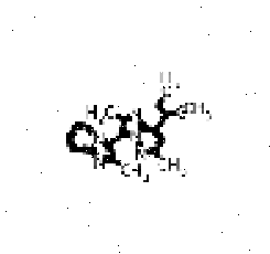 CCC(CC)c1cc(C)nn2c(-c3c(C)nc4ccccn34)c(C)nc12